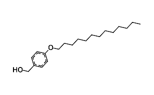 CCCCCCCCCCCCCOc1ccc(CO)cc1